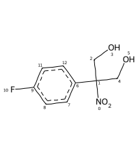 O=[N+]([O-])C(CO)(CO)c1ccc(F)cc1